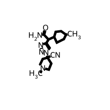 CC1CCC([C](C(N)=O)c2cn(C3(C#N)CCN(C)CC3)nn2)CC1